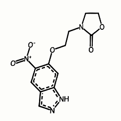 O=C1OCCN1CCOc1cc2[nH]ncc2cc1[N+](=O)[O-]